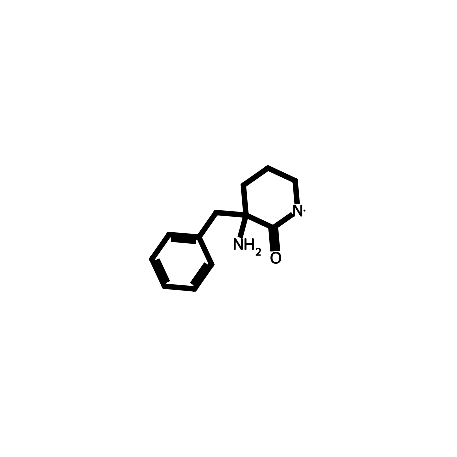 NC1(Cc2ccccc2)CCC[N]C1=O